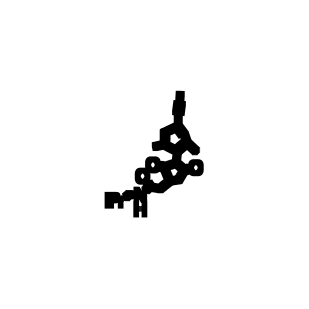 CC#Cc1cc(C)c(C2C(=O)CC(CC(=O)NCC(C)C)C2=O)c(C)c1